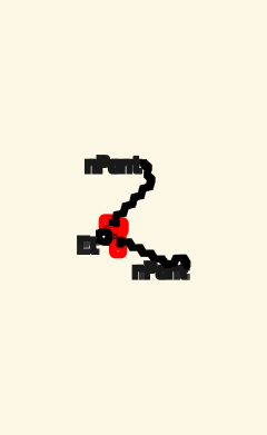 CCCCC/C=C\C/C=C\CCCCCCCC(=O)O[C@H]1C[C@H](CC)C[C@H]1OC(=O)CCCCCCC/C=C\C/C=C\CCCCC